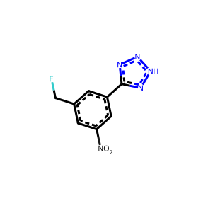 O=[N+]([O-])c1cc(CF)cc(-c2nn[nH]n2)c1